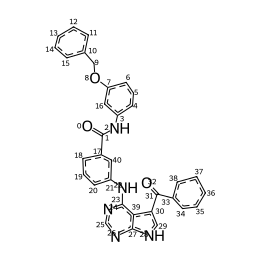 O=C(Nc1cccc(OCc2ccccc2)c1)c1cccc(Nc2ncnc3[nH]cc(C(=O)c4ccccc4)c23)c1